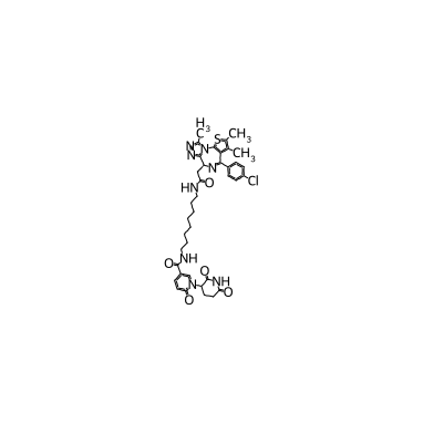 Cc1sc2c(c1C)C(c1ccc(Cl)cc1)=N[C@@H](CC(=O)NCCCCCCCCNC(=O)c1ccc(=O)n(C3CCC(=O)NC3=O)c1)c1nnc(C)n1-2